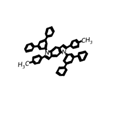 Cc1ccc(-c2cc3cc4c(cc(-c5ccc(C)cc5)n4-c4cc(-c5ccccc5)cc(-c5ccccc5)c4)cc3n2-c2cc(-c3ccccc3)cc(-c3ccccc3)c2)cc1